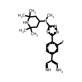 CN(c1nnc(-c2ccc(/C(C=N)=C/N)cc2F)s1)C1CC(C)(C)NC(C)(C)C1